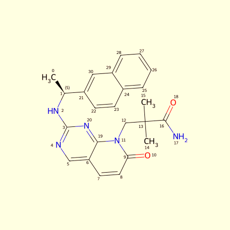 C[C@H](Nc1ncc2ccc(=O)n(CC(C)(C)C(N)=O)c2n1)c1ccc2ccccc2c1